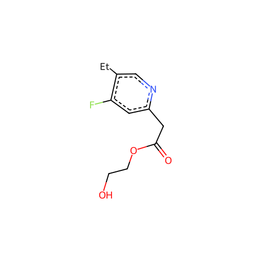 CCc1cnc(CC(=O)OCCO)cc1F